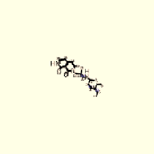 C=C(/C=C\C(=C/C)CC)N/C=C(\C)Cn1ccc2cc[nH]c(=O)c2c1=O